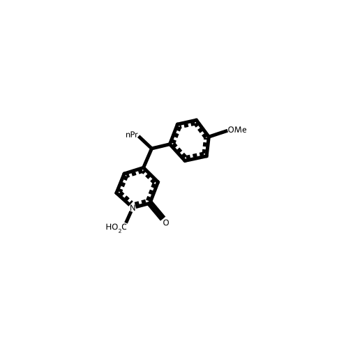 CCCC(c1ccc(OC)cc1)c1ccn(C(=O)O)c(=O)c1